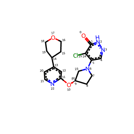 O=c1[nH]ncc(N2CC[C@@H](Oc3cc(C4CCOCC4)ccn3)C2)c1Cl